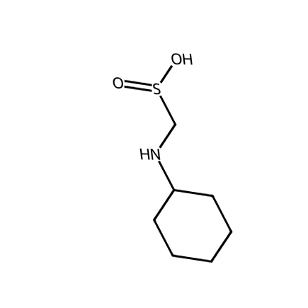 O=S(O)CNC1CCCCC1